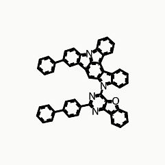 c1ccc(-c2ccc(-c3nc(-n4c5ccccc5c5c6c7ccccc7n7c8ccc(-c9ccccc9)cc8c(cc54)c67)c4oc5ccccc5c4n3)cc2)cc1